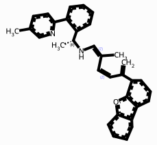 C=C(/C=C\C(C)=C/N[C@H](C)c1ccccc1-c1ccc(C)cn1)c1cccc2c1oc1ccccc12